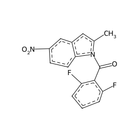 Cc1cc2cc([N+](=O)[O-])ccc2n1C(=O)c1c(F)cccc1F